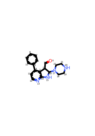 O=CC1c2c(-c3ccccc3)ccnc2NC1N1CCNCC1